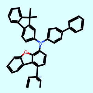 C=C/C(=C\C)c1ccc(N(c2ccc(-c3ccccc3)cc2)c2ccc3c(c2)C(C)(C)c2ccccc2-3)c2oc3ccccc3c12